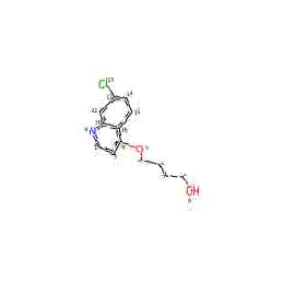 OCCCCOc1ccnc2cc(Cl)ccc12